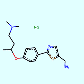 CC(CCN(C)C)Oc1ccc(-c2ncc(CN)s2)cc1.Cl